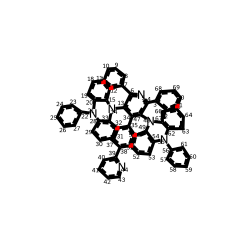 c1ccc(-c2nc(-c3ccccc3)c(N3c4ccccc4N(c4ccccc4)c4ccccc43)c(-c3ccc(-c4ccccn4)cc3)c2N2c3ccccc3N(c3ccccc3)c3ccccc32)cc1